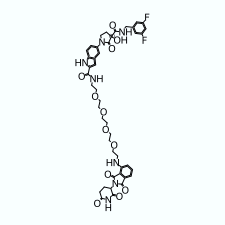 O=C1CCC(N2C(=O)c3cccc(NCCOCCOCCOCCOCCNC(=O)c4cc5cc(N6CC[C@](O)(C(=O)NCc7cc(F)cc(F)c7)C6=O)ccc5[nH]4)c3C2=O)C(=O)N1